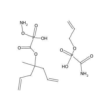 C=CCC(C)(CC=C)OC(=O)P(=O)(O)ON.C=CCOP(=O)(O)C(N)=O